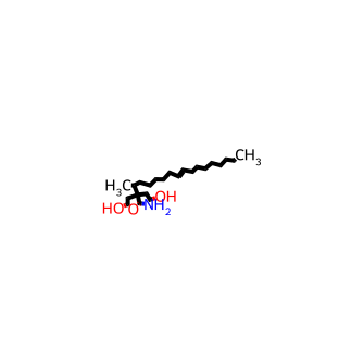 CCCCCCCCC=CCCCCCC(C)C(CCO)(CCO)C(N)=O